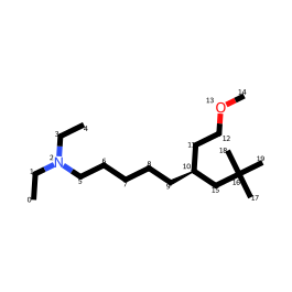 CCN(CC)CCCCC[C@@H](CCOC)CC(C)(C)C